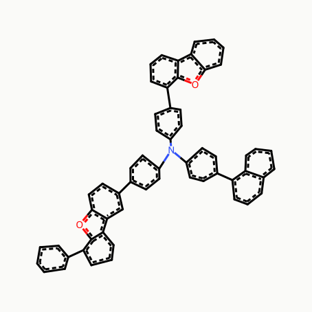 c1ccc(-c2cccc3c2oc2ccc(-c4ccc(N(c5ccc(-c6cccc7ccccc67)cc5)c5ccc(-c6cccc7c6oc6ccccc67)cc5)cc4)cc23)cc1